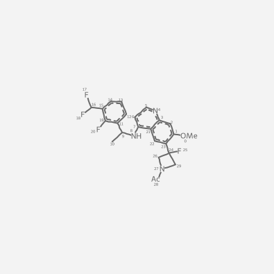 COc1cc2nccc(NC(C)c3cccc(C(F)F)c3F)c2cc1C1(F)CN(C(C)=O)C1